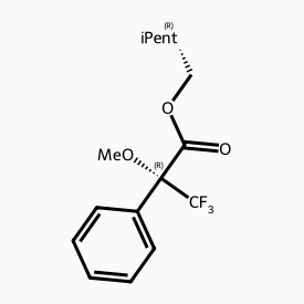 CCC[C@@H](C)COC(=O)[C@](OC)(c1ccccc1)C(F)(F)F